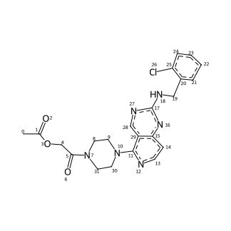 CC(=O)OCC(=O)N1CCN(c2nccc3nc(NCc4ccccc4Cl)ncc23)CC1